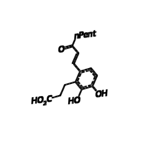 CCCCCC(=O)/C=C/c1ccc(O)c(O)c1CCC(=O)O